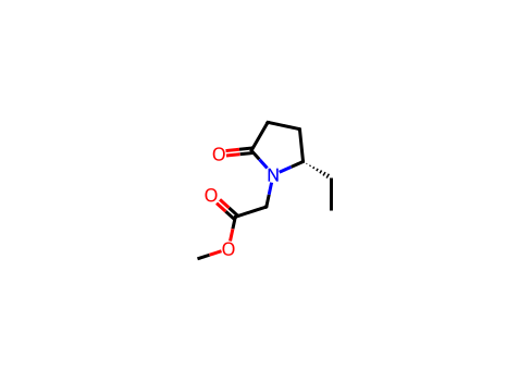 CC[C@H]1CCC(=O)N1CC(=O)OC